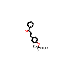 CCOC(=O)C(CC)(CC)Oc1ccc(/C=C/C(=O)c2ccccc2)cc1